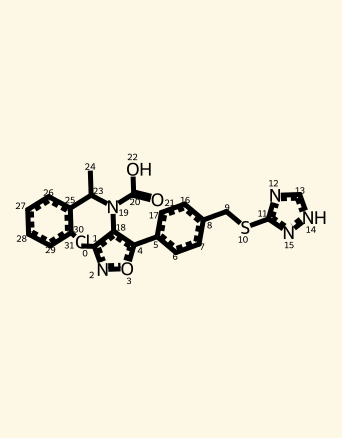 Cc1noc(-c2ccc(CSc3nc[nH]n3)cc2)c1N(C(=O)O)C(C)c1ccccc1Cl